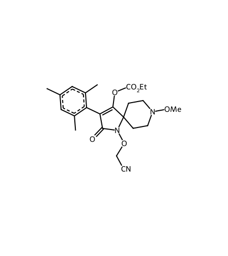 CCOC(=O)OC1=C(c2c(C)cc(C)cc2C)C(=O)N(OCC#N)C12CCN(OC)CC2